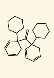 O=C(C1(C2CCCCC2)C=CC=CC1)C1(C2CCCCC2)C=CC=CC1